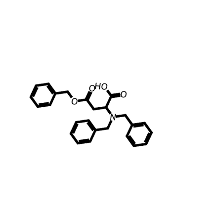 O=C(CC(C(=O)O)N(Cc1ccccc1)Cc1ccccc1)OCc1ccccc1